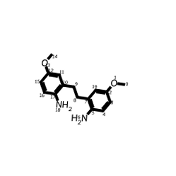 COc1ccc(N)c(CCc2cc(OC)ccc2N)c1